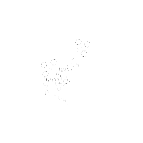 C=CCOC(=O)C[C@H](O)[C@H](NC(=O)[C@@H](CSC(c1ccccc1)(c1ccccc1)c1ccccc1)NC(=O)[C@@H](Cc1cscn1)NC(=O)C[C@H](O)C=CCCSC(c1ccccc1)(c1ccccc1)c1ccccc1)C(C)C